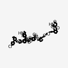 CC1(C)CCC(CN2CCN(c3ccc(C(=O)NS(=O)(=O)c4ccc(NCC5CCCN(CCOCCOCC#Cc6cccc7c6CN(C6CCC(=O)NC6=O)C7=O)C5)c([N+](=O)[O-])c4)c(Oc4cnc5[nH]ccc5c4)c3)CC2)=C(c2ccc(Cl)cc2)C1